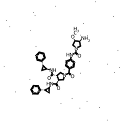 CO[C@H]1CN(C(=O)Nc2ccc(C(=O)N3C[C@@H](C(=O)N[C@H]4C[C@@H]4c4ccccc4)[C@H](C(=O)N[C@H]4C[C@@H]4c4ccccc4)C3)cc2)C[C@@H]1N